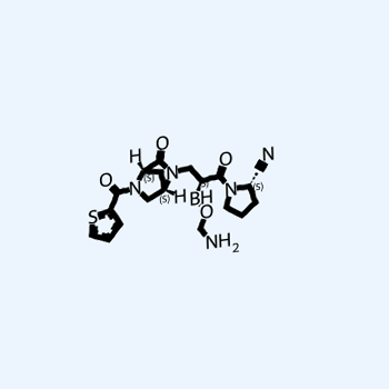 N#C[C@@H]1CCCN1C(=O)[C@@H](BOCN)CN1C(=O)[C@@H]2C[C@H]1CN2C(=O)c1cccs1